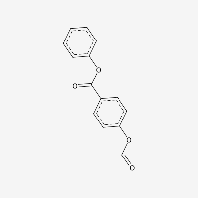 O=COc1ccc(C(=O)Oc2ccccc2)cc1